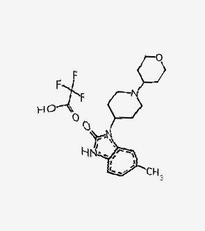 Cc1ccc2[nH]c(=O)n(C3CCN(C4CCOCC4)CC3)c2c1.O=C(O)C(F)(F)F